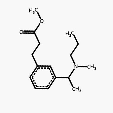 CCCN(C)C(C)c1cccc(CCC(=O)OC)c1